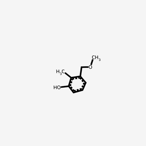 COCc1cccc(O)c1C